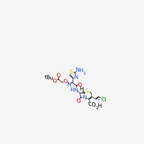 CC(C)(C)OC(=O)CON=C(C(=O)NC1C(=O)N2C(C(=O)O)=C(/C=C/Cl)CS[C@@H]12)c1csc(N)n1